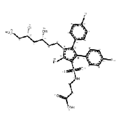 COC(=O)CCNS(=O)(=O)c1c(-c2ccc(F)cc2)c(-c2ccc(F)cc2)n(CC[C@@H](O)C[C@@H](O)CC(=O)O)c1C(C)C